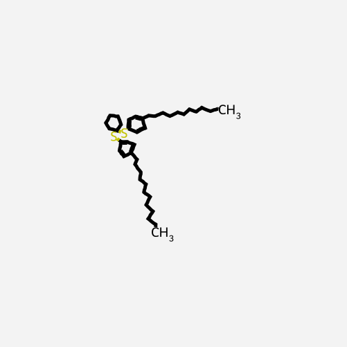 CCCCCCCCCCCCc1ccc(SC2(Sc3ccc(CCCCCCCCCCCC)cc3)CCCCC2)cc1